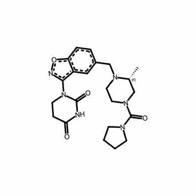 C[C@@H]1CN(C(=O)N2CCCC2)CCN1Cc1ccc2onc(N3CCC(=O)NC3=O)c2c1